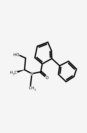 C[C@@H](CO)N(C)C(=O)c1ccccc1-c1ccccc1